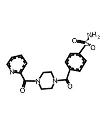 NS(=O)(=O)c1ccc(C(=O)N2CCN(C(=O)c3ccccn3)CC2)cc1